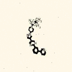 CC(C)(C)OC(=O)N1CCC(n2cc(-c3cnc(-c4cccc(-c5cccnc5)c4)nc3)cn2)CC1